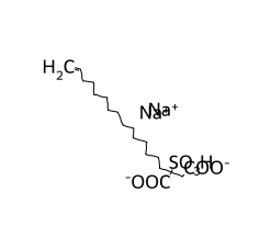 C=CCCCCCCCCCCCCCC(CC(=O)[O-])(C(=O)[O-])S(=O)(=O)O.[Na+].[Na+]